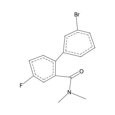 CN(C)C(=O)c1cc(F)ccc1-c1cccc(Br)c1